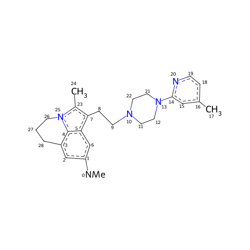 CNc1cc2c3c(c1)c(CCN1CCN(c4cc(C)ccn4)CC1)c(C)n3CCC2